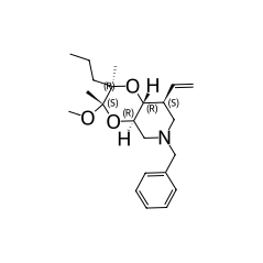 C=C[C@H]1CN(Cc2ccccc2)C[C@H]2O[C@](C)(OC)[C@@](C)(CCC)O[C@H]12